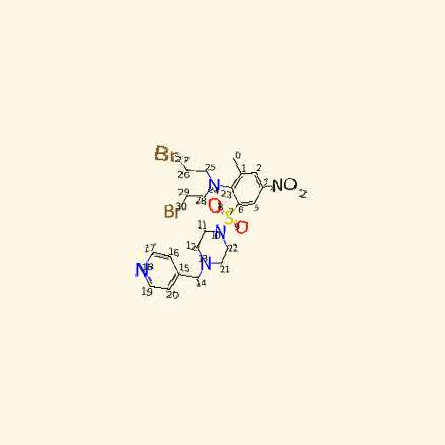 Cc1cc([N+](=O)[O-])cc(S(=O)(=O)N2CCN(Cc3ccncc3)CC2)c1N(CCBr)CCBr